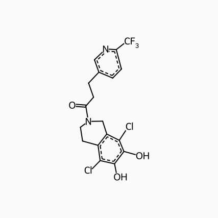 O=C(CCc1ccc(C(F)(F)F)nc1)N1CCc2c(Cl)c(O)c(O)c(Cl)c2C1